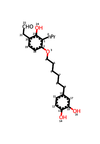 CCCc1c(OCCCCCCc2ccc(O)c(O)c2)ccc(CC=O)c1O